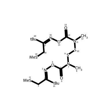 CSCC(=NOC(=O)N(C)SSN(C)C(=O)ON=C(CSC)C(C)(C)C)C(C)(C)C